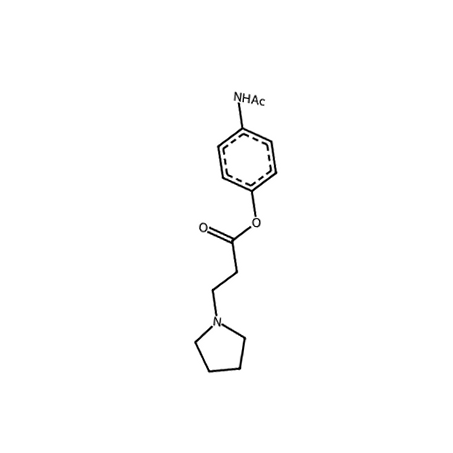 CC(=O)Nc1ccc(OC(=O)CCN2CCCC2)cc1